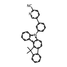 CC1(C)c2ccccc2-c2ccc3c(c21)c1ccccc1n3-c1cccc(-c2ccc(C#N)nc2)c1